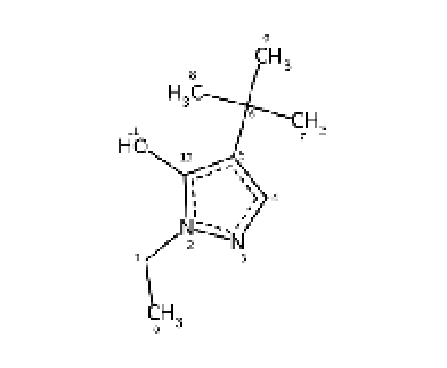 CCn1ncc(C(C)(C)C)c1O